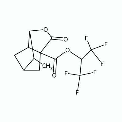 CC1C2CC3C1OC(=O)C3(C(=O)OC(C(F)(F)F)C(F)(F)F)C2